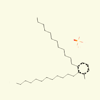 CCCCCCCCCCCCc1cccc(C)c1CCCCCCCCCCCC.O=P(O)(O)O